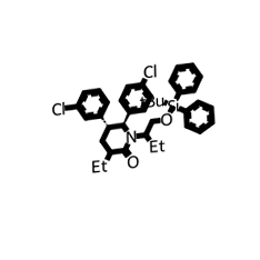 CCC1C[C@H](c2cccc(Cl)c2)[C@@H](c2ccc(Cl)cc2)N(C(CC)CO[Si](c2ccccc2)(c2ccccc2)C(C)(C)C)C1=O